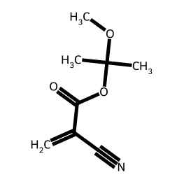 C=C(C#N)C(=O)OC(C)(C)OC